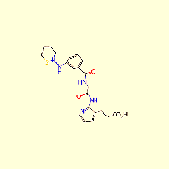 O=C(O)CCc1cccnc1NC(=O)CNC(=O)c1cccc(NN2CCCCS2)c1